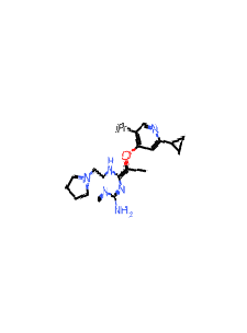 C=N/C(N)=N\C(NCCN1CCCC1)=C(/C)Oc1cc(C2CC2)ncc1C(C)C